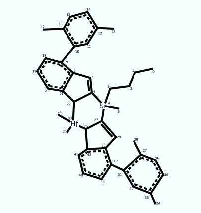 CCCC[Si]1(C)C2=Cc3c(-c4cc(C)ccc4C)cccc3[CH]2[Hf]([CH3])([CH3])[CH]2C1=Cc1c(-c3cc(C)ccc3C)cccc12